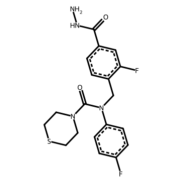 NNC(=O)c1ccc(CN(C(=O)N2CCSCC2)c2ccc(F)cc2)c(F)c1